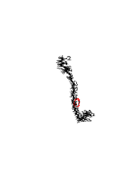 CC(C)C/C=C/CC/C=C/CC/C=C/CCC(=O)CCCCCCCC(C)C(C)CCC(C)(C)C